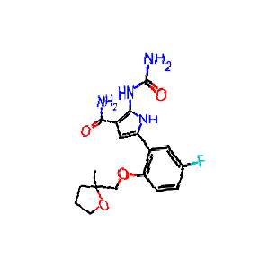 CC1(COc2ccc(F)cc2-c2cc(C(N)=O)c(NC(N)=O)[nH]2)CCCO1